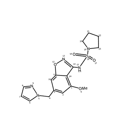 COc1cc(Cn2cccn2)cc2onc(NS(=O)(=O)N3CCCC3)c12